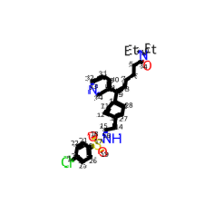 CCN(CC)C(=O)CCCC=C(c1ccc(CCNS(=O)(=O)c2ccc(Cl)cc2)cc1)c1cccnc1